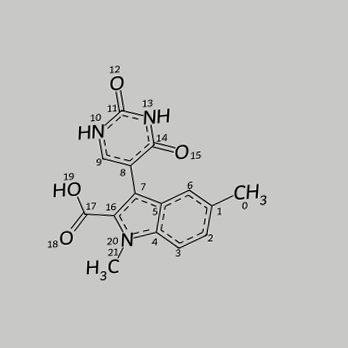 Cc1ccc2c(c1)c(-c1c[nH]c(=O)[nH]c1=O)c(C(=O)O)n2C